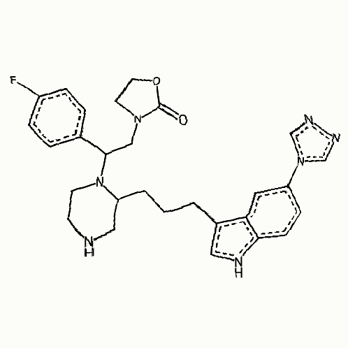 O=C1OCCN1CC(c1ccc(F)cc1)N1CCNCC1CCCc1c[nH]c2ccc(-n3cnnc3)cc12